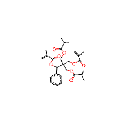 C=C(C)C(=O)OCC(COC(=O)C(=C)C)(COC(=O)C(=C)C)C(OC(=O)C(=C)C)c1ccccc1